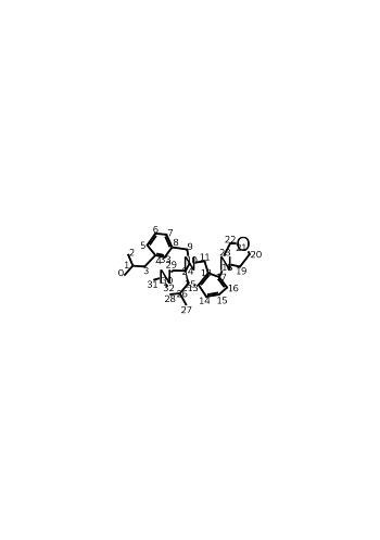 CC(C)Cc1cccc(CN(Cc2ccccc2N2CCOCC2)[C@@H](CC(C)C)CN(C)C)c1